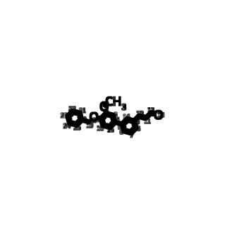 COc1cc(-c2cccc(/C=C/C=O)c2)ccc1OCc1ccccc1